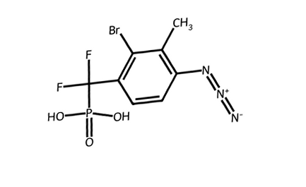 Cc1c(N=[N+]=[N-])ccc(C(F)(F)P(=O)(O)O)c1Br